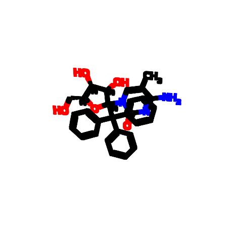 Cc1cn([C@]2(C(c3ccccc3)(c3ccccc3)c3ccccc3)O[C@H](CO)[C@@H](O)[C@H]2O)c(=O)nc1N